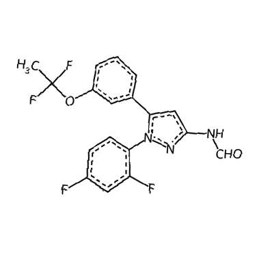 CC(F)(F)Oc1cccc(-c2cc(NC=O)nn2-c2ccc(F)cc2F)c1